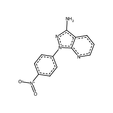 Nc1nn(-c2ccc([N+](=O)[O-])cc2)c2ncccc12